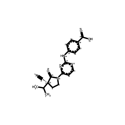 CC(C)[C@]1(C#N)CCN(c2ccnc(Nc3ccc(C(=O)O)cc3)n2)C1=O